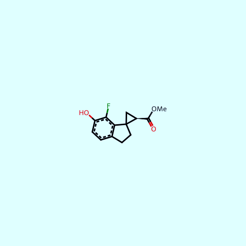 COC(=O)[C@@H]1CC12CCc1ccc(O)c(F)c12